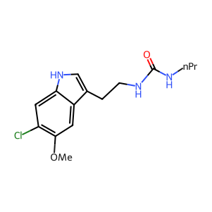 CCCNC(=O)NCCc1c[nH]c2cc(Cl)c(OC)cc12